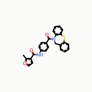 Cc1occc1C(=O)Nc1ccc(C(=O)N2Cc3ccccc3Sc3ccccc32)cc1